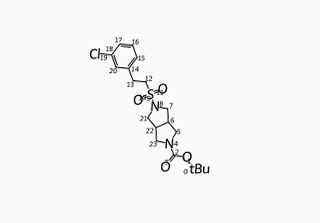 CC(C)(C)OC(=O)N1CC2CN(S(=O)(=O)CCc3cccc(Cl)c3)CC2C1